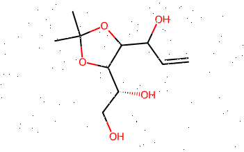 C=CC(O)C1OC(C)(C)OC1[C@H](O)CO